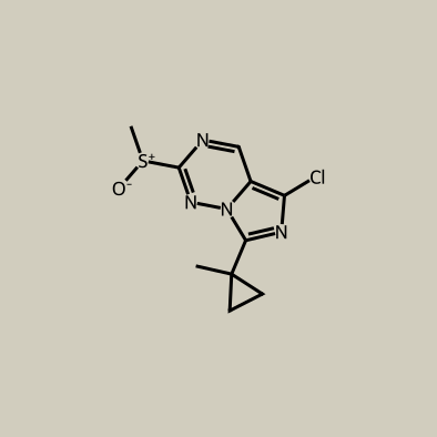 C[S+]([O-])c1ncc2c(Cl)nc(C3(C)CC3)n2n1